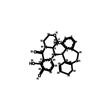 Cc1cccc2c1[C@H](N1C3COCCN3C(=O)c3c(O)c(=O)ccn31)C1=C(CCC=C1)SC2